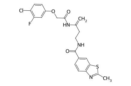 C=C(CCNC(=O)c1ccc2nc(C)sc2c1)NC(=O)COc1ccc(Cl)c(F)c1